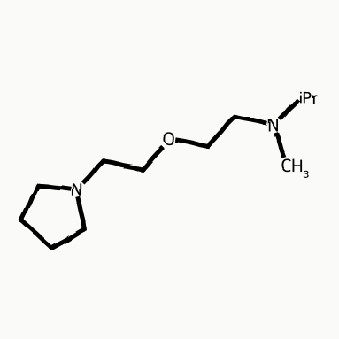 CC(C)N(C)CCOCCN1CCCC1